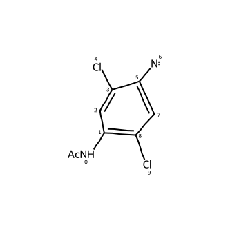 CC(=O)Nc1cc(Cl)c([N])cc1Cl